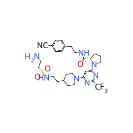 N#Cc1ccc(CCNC(=O)[C@@H]2CCCN2c2cc(N3CCC(CCNS(=O)(=O)CCN)CC3)nc(C(F)(F)F)n2)cc1